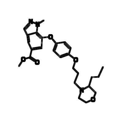 CCCC1COCCN1CCCOc1ccc(Oc2cc(C(=O)OC)cc3cnn(C)c23)cc1